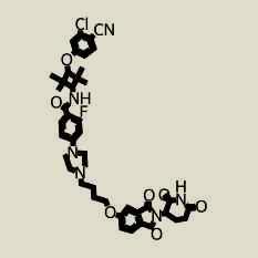 CC1(C)C(NC(=O)c2ccc(N3CCN(CCCCOc4ccc5c(c4)C(=O)N(C4CCC(=O)NC4=O)C5=O)CC3)cc2F)C(C)(C)C1Oc1ccc(C#N)c(Cl)c1